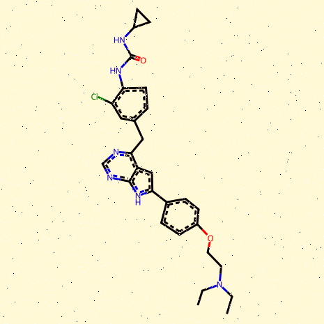 CCN(CC)CCOc1ccc(-c2cc3c(Cc4ccc(NC(=O)NC5CC5)c(Cl)c4)ncnc3[nH]2)cc1